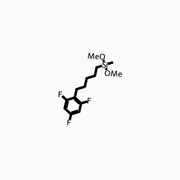 CO[Si](C)(CCCCCc1c(F)cc(F)cc1F)OC